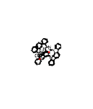 O=P1(c2ccccc2)N(c2ccccc2)c2ccc(-n3c4ccccc4c4ccc5c6ccccc6n(-c6nc(-c7ccccc7)nc(-c7ccccc7)n6)c5c43)cc2N1c1ccccc1